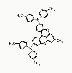 Cc1ccc(N(c2ccc(C)cc2)c2ccc3c(c2)Oc2cc(C)cc4c2B3c2ccc(N(c3ccc(C)cc3)c3ccc(C)cc3)cc2O4)cc1